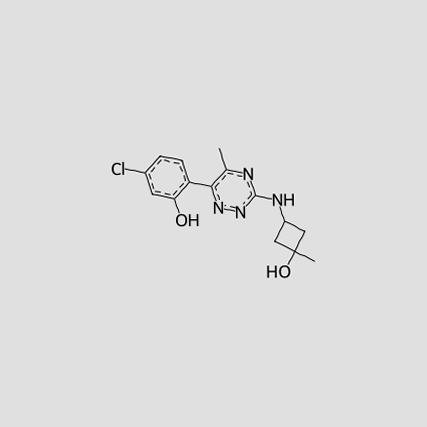 Cc1nc(NC2CC(C)(O)C2)nnc1-c1ccc(Cl)cc1O